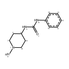 CCCN1CCC(NC(=O)Nc2ccccc2)CC1